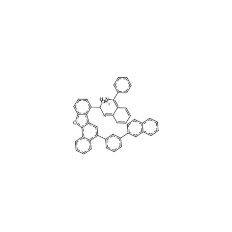 CC(/N=C1/C=CC=C/C1=C(/N)c1ccccc1)c1cccc2oc3c4ccccc4c(-c4cccc(-c5ccc6ccccc6c5)c4)cc3c12